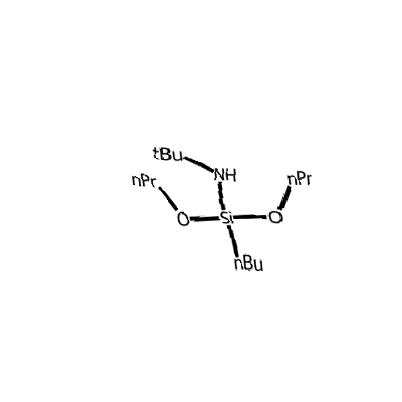 CCCC[Si](NC(C)(C)C)(OCCC)OCCC